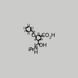 CC(C)NCC(O)c1cc(OCc2ccccc2)cc(C(=O)O)c1